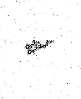 CC(O)COC(C)COC(C)CO.CN(CCC(=O)O)c1ccccc1.CN(CCC(=O)O)c1ccccc1